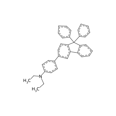 CCN(CC)c1ccc(-c2ccc3c(c2)-c2ccccc2C3(c2ccccc2)c2ccccc2)cc1